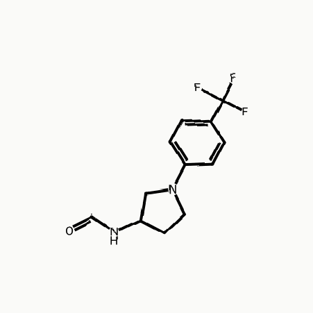 O=[C]NC1CCN(c2ccc(C(F)(F)F)cc2)C1